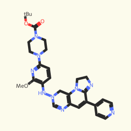 COc1nc(N2CCN(C(=O)OC(C)(C)C)CC2)ccc1NN1C=NC2=C(C1)N1CCN=C1C(c1ccncc1)=C2